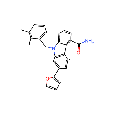 Cc1cccc(Cn2c3cc(-c4ccco4)c[c]c3c3c(C(N)=O)cccc32)c1C